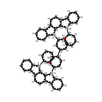 c1ccc(-n2c3ccccc3c3ccc4c5ccccc5n(-c5ccc(-c6ccnc(-n7c8ccccc8c8ccc9c%10ccccc%10n(-c%10ccccc%10)c9c87)c6)nc5)c4c32)cc1